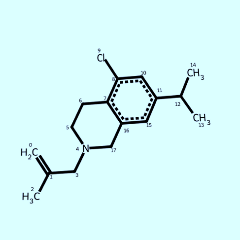 C=C(C)CN1CCc2c(Cl)cc(C(C)C)cc2C1